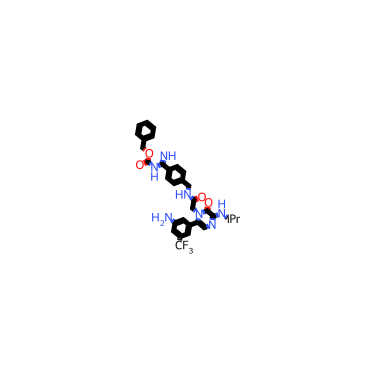 CC(C)Nc1ncc(-c2cc(N)cc(C(F)(F)F)c2)n(CC(=O)NCc2ccc(C(=N)NC(=O)OCc3ccccc3)cc2)c1=O